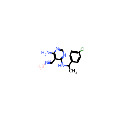 B/N=C/c1c(N)ncnc1NC(C)c1ccc(Cl)cc1